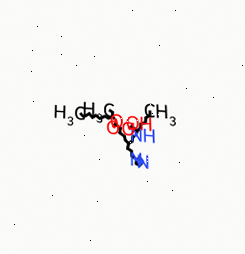 CCCCCCCCC(CC)OC(=O)CCCCC(CCCn1ccnc1)CCNC(CCCCCC)C(=O)O